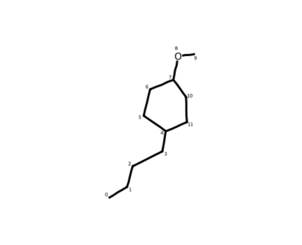 CCCCC1CCC(OC)CC1